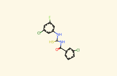 O=C(NC(S)Nc1cc(F)cc(Cl)c1)c1cccc(Cl)c1